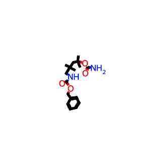 CC(C)(CNC(=O)OCc1ccccc1)CC(C)(C)OC(N)=O